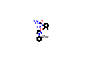 CSc1ccccc1-n1ccc(OCc2c(C)cccc2N(N)C(=O)NN)n1